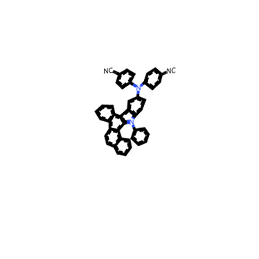 [C-]#[N+]c1ccc(N(c2ccc(C#N)cc2)c2ccc3c(c2)c2c4ccccc4c4ccc5ccccc5c4c2n3-c2ccccc2)cc1